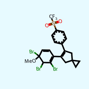 COC1(Br)C=CC(C2=C(c3ccc(S(=O)(=O)C(F)(F)F)cc3)CC3(CC3)C2)=C(Br)C1Br